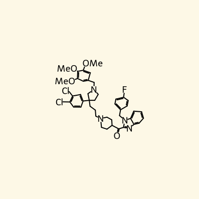 COc1cc(CN2CCC(CCCN3CCC(C(=O)c4nc5ccccc5n4Cc4ccc(F)cc4)CC3)(c3ccc(Cl)c(Cl)c3)C2)cc(OC)c1OC